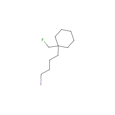 FCC1(CCCCI)CCCCC1